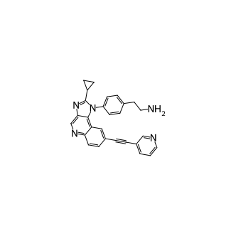 NCCc1ccc(-n2c(C3CC3)nc3cnc4ccc(C#Cc5cccnc5)cc4c32)cc1